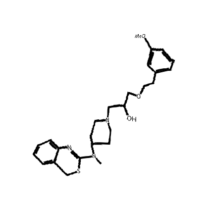 COc1cccc(CCOCC(O)CN2CCC(N(C)C3=Nc4ccccc4CS3)CC2)c1